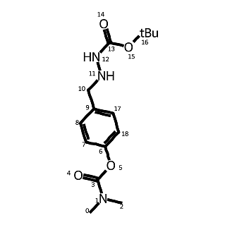 CN(C)C(=O)Oc1ccc(CNNC(=O)OC(C)(C)C)cc1